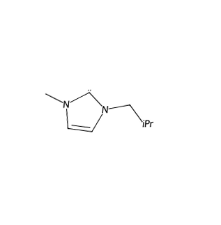 CC(C)CN1[C]N(C)C=C1